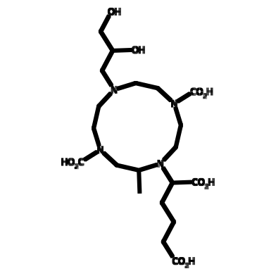 CC1CN(C(=O)O)CCN(CC(O)CO)CCN(C(=O)O)CCN1C(CCCC(=O)O)C(=O)O